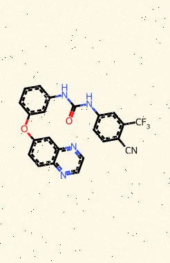 N#Cc1ccc(NC(=O)Nc2cccc(Oc3ccc4nccnc4c3)c2)cc1C(F)(F)F